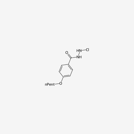 CCCCCOc1ccc(C(=O)NNCl)cc1